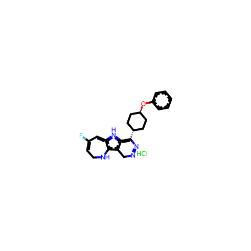 Cl.FC1=CCNc2c3c([nH]c2=C1)=C([C@H]1CC[C@H](Oc2ccccc2)CC1)N=NC3